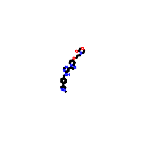 Cn1cc(-c2ccc(CNc3cc(-c4cnc5cc(OCCCN6CCOCC6=O)ccn45)ncn3)cc2)cn1